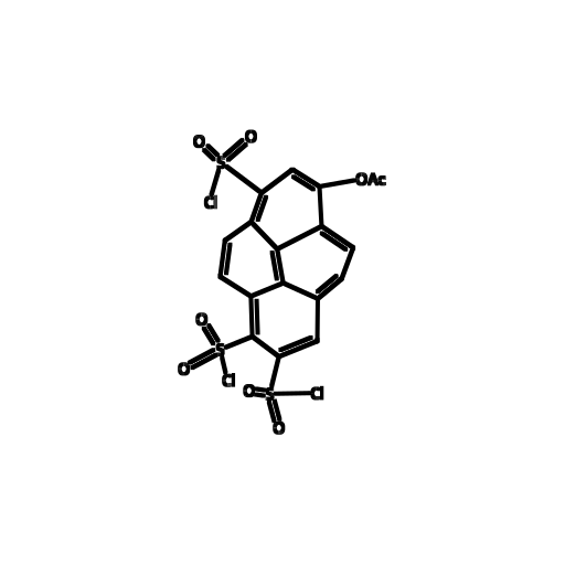 CC(=O)Oc1cc(S(=O)(=O)Cl)c2ccc3c(S(=O)(=O)Cl)c(S(=O)(=O)Cl)cc4ccc1c2c43